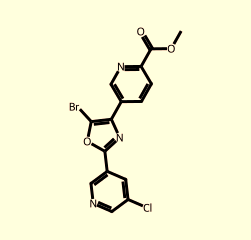 COC(=O)c1ccc(-c2nc(-c3cncc(Cl)c3)oc2Br)cn1